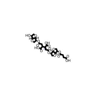 O=C(O)CCC(=O)O[C@@H]1CO[C@H]2[C@@H]1OC[C@H]2OC(=O)/C=C(\C(=O)O)C(CC(=O)O[C@@H]1CO[C@H]2[C@@H]1OC[C@H]2O)C(=O)O